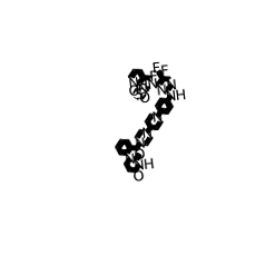 CN(c1ncccc1CNc1nc(Nc2ccc(N3CCC(N4CCN(Cc5ccccc5N5CCC(=O)NC5=O)CC4)CC3)cc2)ncc1C(F)(F)F)S(C)(=O)=O